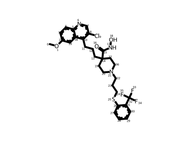 COc1ccc2ncc(Cl)c(CCCC3(C(=O)NO)CCN(CCCSc4ccccc4C(F)(F)F)CC3)c2c1